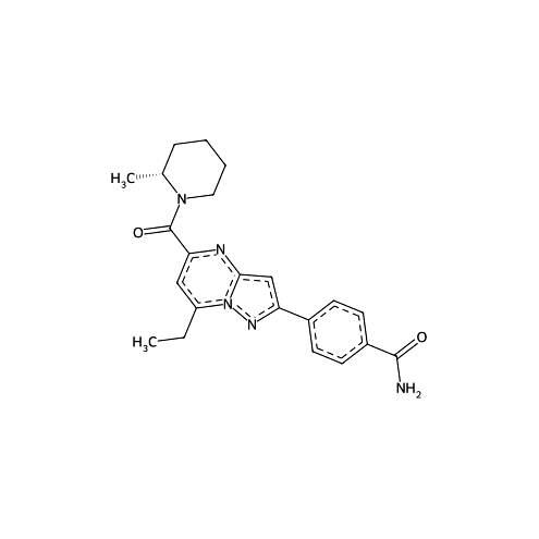 CCc1cc(C(=O)N2CCCC[C@H]2C)nc2cc(-c3ccc(C(N)=O)cc3)nn12